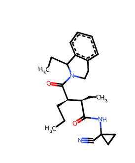 CCC[C@@H](C(=O)N1CCc2ccccc2C1CC)[C@@H](CC)C(=O)NC1(C#N)CC1